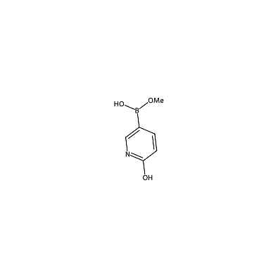 COB(O)c1ccc(O)nc1